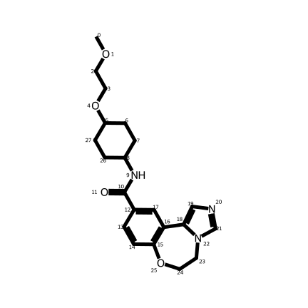 COCCOC1CCC(NC(=O)c2ccc3c(c2)-c2cncn2CCO3)CC1